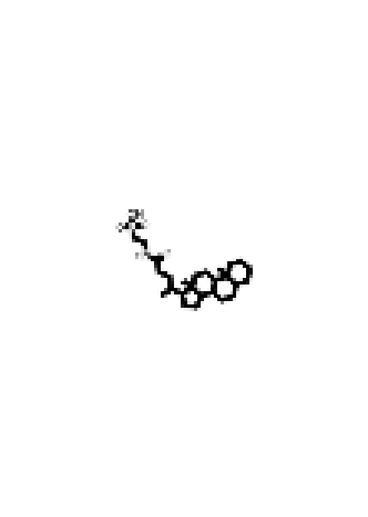 CC(CCC(=O)NCCS(=O)(=O)O)C1CCC2C3CCC4CCCCC4(C)C3CCC12C